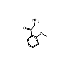 COc1ccccc1C(=O)CN